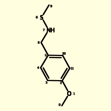 COc1ccc(CNSC)cc1